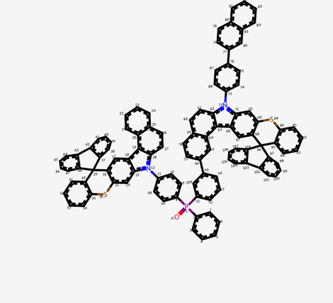 O=P(c1ccccc1)(c1ccc(-n2c3cc4c(cc3c3c5ccccc5ccc32)C2(c3ccccc3S4)c3ccccc3-c3ccccc32)cc1)c1cccc(-c2ccc3ccc4c(c3c2)c2cc3c(cc2n4-c2ccc(-c4ccc5ccccc5c4)cc2)Sc2ccccc2C32c3ccccc3-c3ccccc32)c1